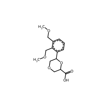 COCc1cccc(C2COCC(C(=O)O)O2)c1COC